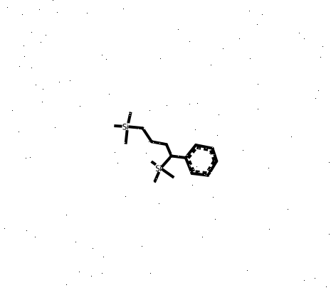 C[Si](C)(C)C[CH]CC(c1ccccc1)[Si](C)(C)C